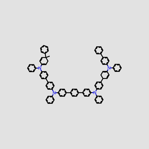 CC1(c2ccccc2)C=CC(N(c2ccccc2)c2ccc(-c3ccc(N(c4ccccc4)c4ccc(-c5ccc(-c6ccc(N(c7ccccc7)c7ccc(C8C=CC(N(c9ccccc9)c9ccc(-c%10ccccc%10)cc9)=CC8)cc7)cc6)cc5)cc4)cc3)cc2)=CC1